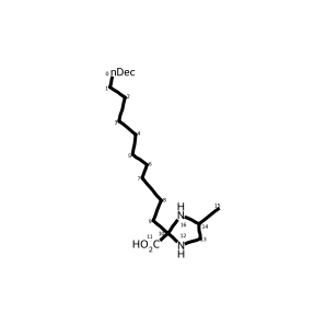 CCCCCCCCCCCCCCCCCCCC1(C(=O)O)NCC(C)N1